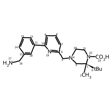 CC(C)(C)[C@@]1(C)CN(Cc2cccc(-c3cccc(CN)c3)n2)CCN1C(=O)O